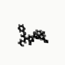 C=C(Oc1ccccc1)/C(=C\C=C/C)c1cc(C(=O)N[C@@]23CCC[C@@H]2CN(C#N)C3)n[nH]1